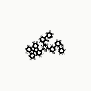 C1=CC2c3c(-c4nc(-c5cccc(-c6cccc7sc8ccccc8c67)c5)nc(-c5cccc6c5sc5ccccc56)n4)cccc3C(c3ccccc3)(c3ccccc3)C2C=C1